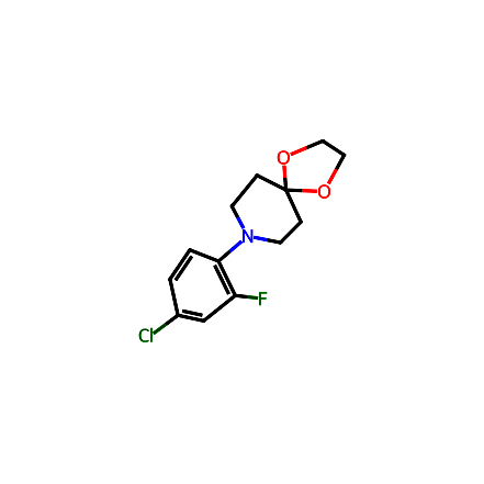 Fc1cc(Cl)ccc1N1CCC2(CC1)OCCO2